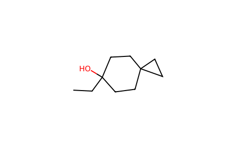 CCC1(O)CCC2(CC1)CC2